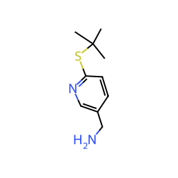 CC(C)(C)Sc1ccc(CN)cn1